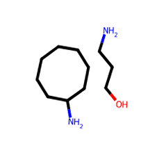 NC1CCCCCCC1.NCCCO